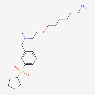 CN(CCOCCCCCCN)Cc1cccc(S(=O)(=O)C2CCCC2)c1